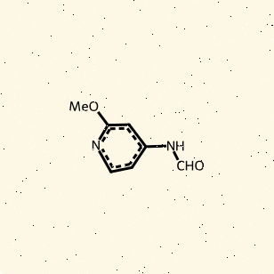 COc1cc(NC=O)ccn1